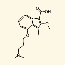 COc1c(C)c2c(OCCCN(C)C)ccccc-2c1C(=O)O